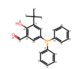 CC(C)(C)c1cc(P(c2ccccc2)c2ccccc2)cc(C=O)c1O